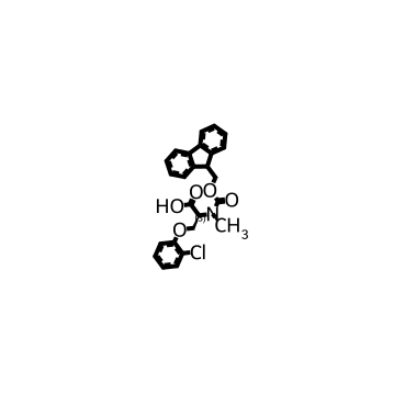 CN(C(=O)OCC1c2ccccc2-c2ccccc21)[C@@H](COc1ccccc1Cl)C(=O)O